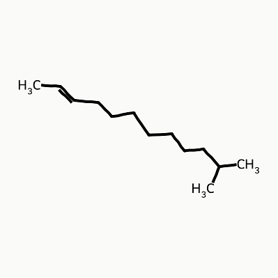 CC=CCCCCCCCC(C)C